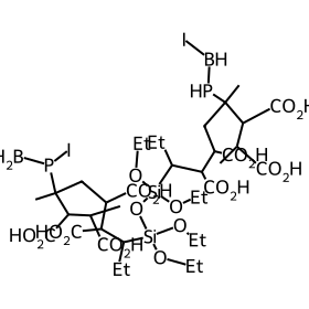 BP(I)C(C)(CC(C(=O)O)C(C(=O)O)C(CC)[Si](OCC)(OCC)O[Si](OCC)(OCC)C(CC)C(C(=O)O)C(CC(C)(PBI)C(C(=O)O)C(C)C(=O)O)C(=O)O)C(C(=O)O)C(C)C(=O)O